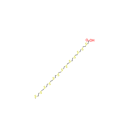 CSCCSCCSCCSCCSCCSCCSCCSCCSCCSCCSCCSCCSCC(=O)O